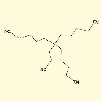 N#CCCCCC(CCC#N)(CCCCC#N)CCCCC#N